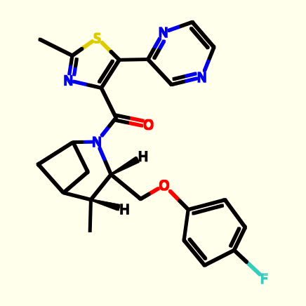 Cc1nc(C(=O)N2C3CC(C3)[C@@H](C)[C@H]2COc2ccc(F)cc2)c(-c2cnccn2)s1